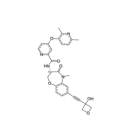 Cc1ccc(Oc2ccnc(C(=O)N[C@H]3COc4ccc(C#CC5(O)COC5)cc4N(C)C3=O)c2)c(C)n1